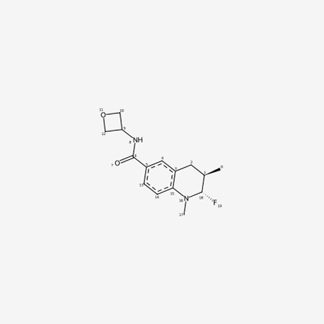 C[C@@H]1Cc2cc(C(=O)NC3COC3)ccc2N(C)[C@H]1F